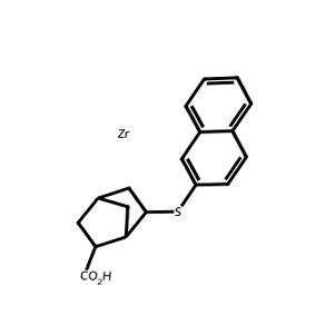 O=C(O)C1CC2CC(Sc3ccc4ccccc4c3)C1C2.[Zr]